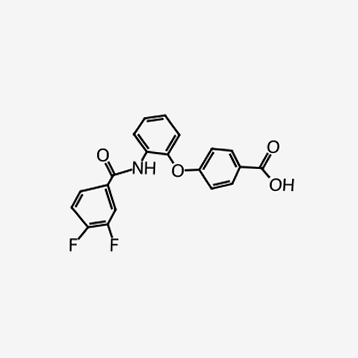 O=C(O)c1ccc(Oc2ccccc2NC(=O)c2ccc(F)c(F)c2)cc1